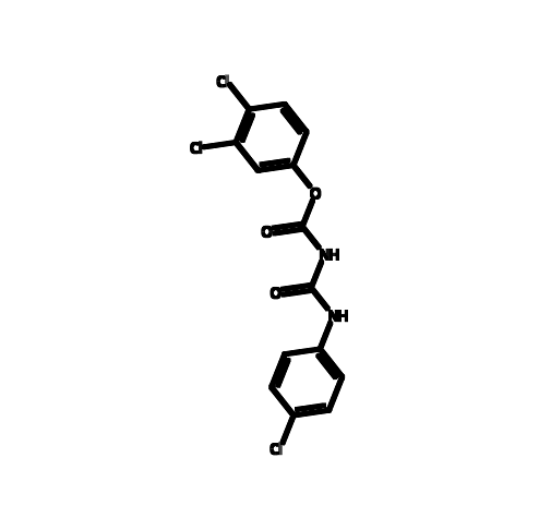 O=C(NC(=O)Oc1ccc(Cl)c(Cl)c1)Nc1ccc(Cl)cc1